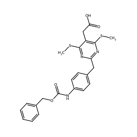 CSc1nc(Cc2ccc(NC(=O)OCc3ccccc3)cc2)nc(SC)c1CC(=O)O